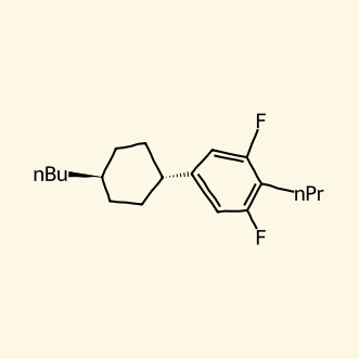 CCCC[C@H]1CC[C@H](c2cc(F)c(CCC)c(F)c2)CC1